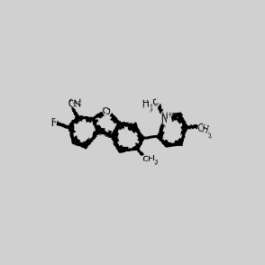 Cc1ccc(-c2cc3oc4c(C#N)c(F)ccc4c3cc2C)[n+](C)c1